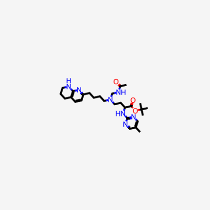 CC(=O)NCN(CCCCc1ccc2c(n1)NCCC2)CCC(Nc1ncc(C)cn1)C(=O)OC(C)(C)C